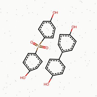 O=S(=O)(c1ccc(O)cc1)c1ccc(O)cc1.Oc1ccc(-c2ccc(O)cc2)cc1